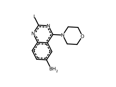 Bc1ccc2nc(I)nc(N3CCOCC3)c2c1